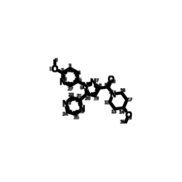 COc1ccc(-n2nc(C(=O)N3CCC(OC)CC3)cc2-c2cnccn2)cn1